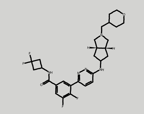 O=C(NC1CC(F)(F)C1)c1cc(F)c(F)c(-c2ccc(NC3C[C@@H]4CN(CC5CCOCC5)C[C@@H]4C3)nn2)c1